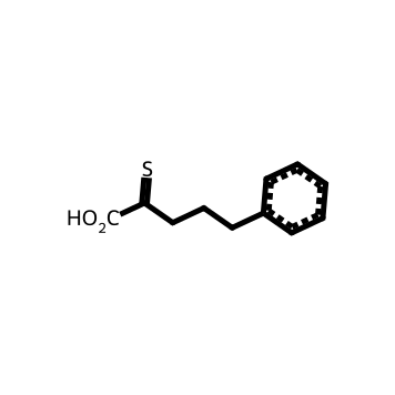 O=C(O)C(=S)CCCc1ccccc1